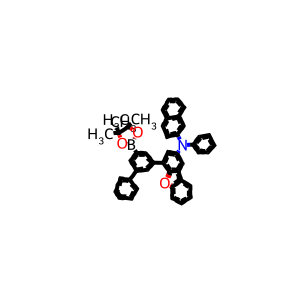 CC1(C)OB(c2cc(-c3ccccc3)cc(-c3cc(N(c4ccccc4)c4ccc5ccccc5c4)cc4c3oc3ccccc34)c2)OC1(C)C